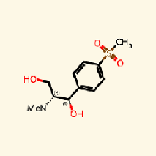 CN[C@H](CO)[C@H](O)c1ccc(S(C)(=O)=O)cc1